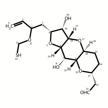 C=CC(C[C@H]1O[C@H]2[C@@H](O)[C@H]3O[C@@H](CC=O)CC[C@@H]3O[C@H]2[C@H]1O)OCS